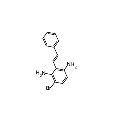 Nc1ccc(Br)c(N)c1C=Cc1ccccc1